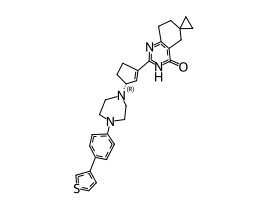 O=c1[nH]c(C2=C[C@H](N3CCN(c4ccc(-c5ccsc5)cc4)CC3)CC2)nc2c1CC1(CC2)CC1